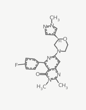 Cc1nc2cc(N3CCO[C@H](c4cnn(C)c4)C3)nc(-c3ccc(F)cc3)c2c(=O)n1C